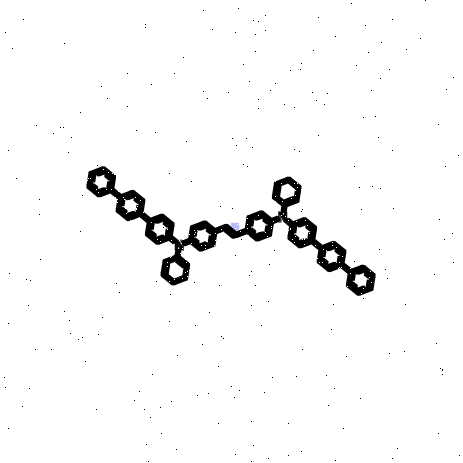 C1=CC(N(c2ccc(/C=C/c3ccc(N(C4=CCCC=C4)c4ccc(-c5ccc(-c6ccccc6)cc5)cc4)cc3)cc2)c2ccc(-c3ccc(-c4ccccc4)cc3)cc2)=CCC1